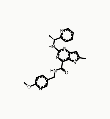 COc1ccc(CNC(=O)c2nc(N[C@@H](C)c3ccccn3)nc3cc(C)sc23)cn1